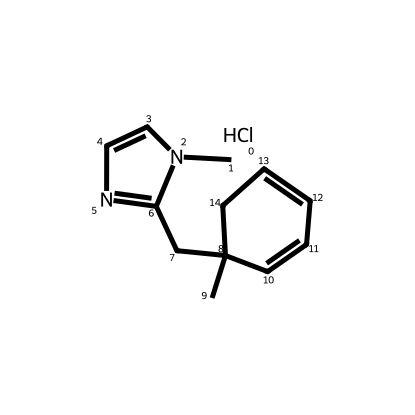 Cl.Cn1ccnc1CC1(C)C=CC=CC1